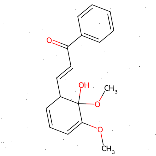 COC1=CC=CC(C=CC(=O)c2ccccc2)C1(O)OC